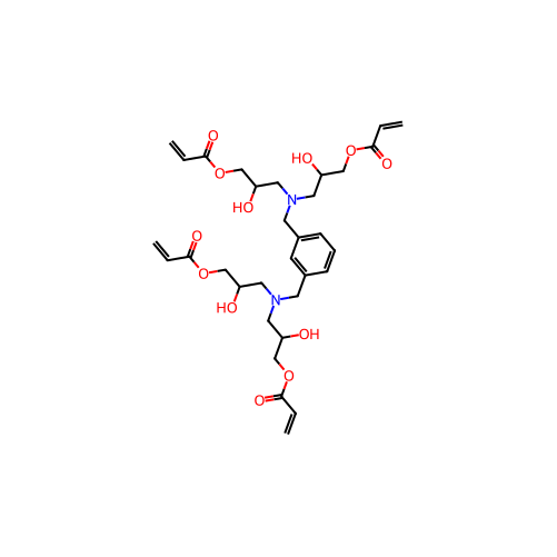 C=CC(=O)OCC(O)CN(Cc1cccc(CN(CC(O)COC(=O)C=C)CC(O)COC(=O)C=C)c1)CC(O)COC(=O)C=C